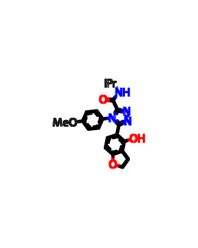 COc1ccc(-n2c(C(=O)NC(C)C)nnc2-c2ccc3c(c2O)CCO3)cc1